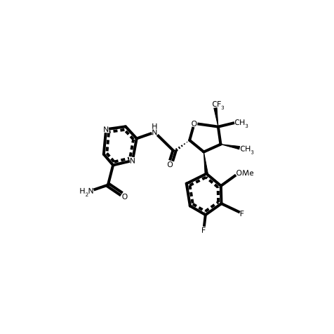 COc1c([C@H]2[C@H](C(=O)Nc3cncc(C(N)=O)n3)O[C@@](C)(C(F)(F)F)[C@H]2C)ccc(F)c1F